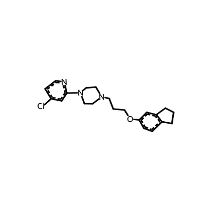 Clc1ccnc(N2CCN(CCCOc3ccc4c(c3)CCC4)CC2)c1